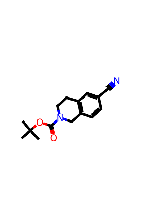 CC(C)(C)OC(=O)N1CCc2cc(C#N)ccc2C1